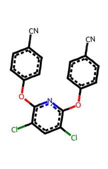 N#Cc1ccc(Oc2nc(Oc3ccc(C#N)cc3)c(Cl)cc2Cl)cc1